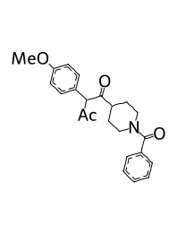 COc1ccc(C(C(C)=O)C(=O)C2CCN(C(=O)c3ccccc3)CC2)cc1